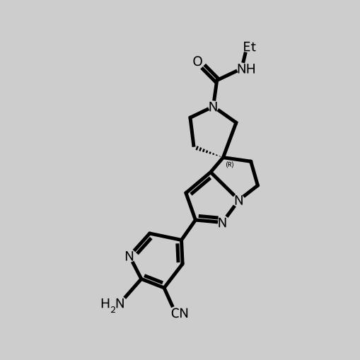 CCNC(=O)N1CC[C@@]2(CCn3nc(-c4cnc(N)c(C#N)c4)cc32)C1